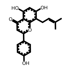 CC(C)=CCc1c(O)cc(O)c2c(=O)cc(-c3ccc(O)cc3)oc12